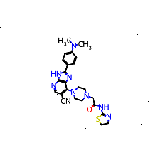 CN(C)c1ccc(-c2nc3c(N4CCN(CC(=O)NC5=NCCS5)CC4)c(C#N)cnc3[nH]2)cc1